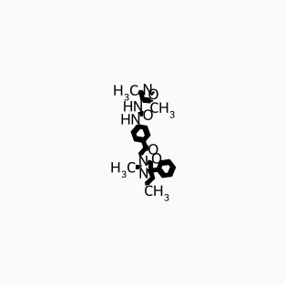 CCCC1(c2ccccc2)N=C(C)N(CC(=O)c2ccc(NC(=O)Nc3c(C)noc3C)cc2)C1=O